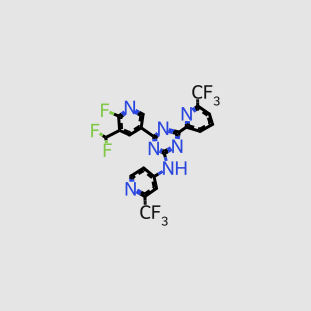 Fc1ncc(-c2nc(Nc3ccnc(C(F)(F)F)c3)nc(-c3cccc(C(F)(F)F)n3)n2)cc1C(F)F